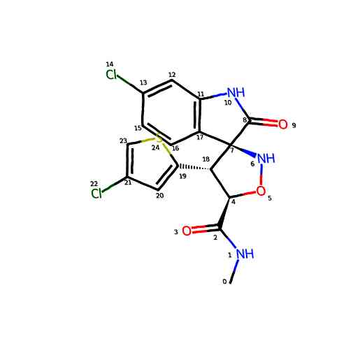 CNC(=O)[C@@H]1ON[C@@]2(C(=O)Nc3cc(Cl)ccc32)[C@H]1c1cc(Cl)cs1